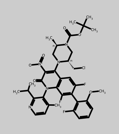 COc1cccc(F)c1-c1c(F)cc2c(N3C[C@@H](C)N(C(=O)OC(C)(C)C)C[C@@H]3CCl)c([N+](=O)[O-])c(=O)n(-c3c(C)ccnc3C(C)C)c2c1F